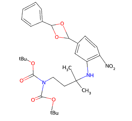 CC(C)(CCN(C(=O)OC(C)(C)C)C(=O)OC(C)(C)C)Nc1cc(C2OC(c3ccccc3)O2)ccc1[N+](=O)[O-]